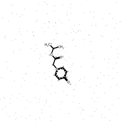 CC(C)OC(=O)Cn1ccc(=O)cc1